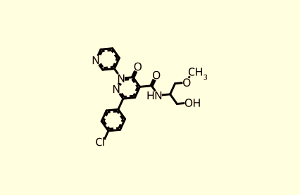 COCC(CO)NC(=O)c1cc(-c2ccc(Cl)cc2)nn(-c2cccnc2)c1=O